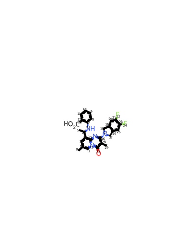 Cc1cc(C(C)Nc2ccccc2C(=O)O)c2nc(N3Cc4cc(F)c(F)cc4C3)c(C)c(=O)n2c1